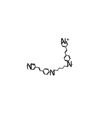 CN(CCCCCCN(C)c1ccc(/C=C/c2cc[n+](C)cc2)cc1)c1ccc(/C=C/c2cc[n+](C)cc2)cc1